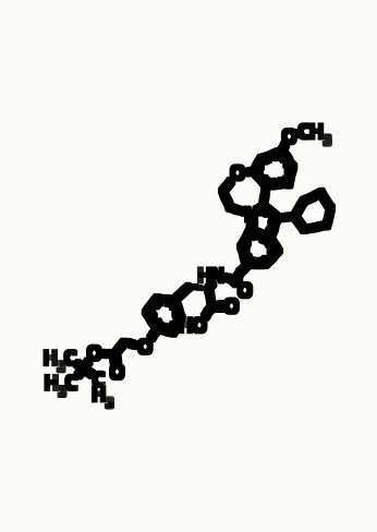 COc1ccc2c(c1)OCCn1c-2c(C2CCCCC2)c2ccc(C(=O)N[C@@H](Cc3ccc(OCC(=O)OC(C)(C)C)cc3)C(=O)O)cc21